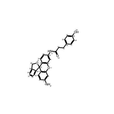 Nc1ccc2c(c1)Oc1cc(NC(=O)CCc3ccc(O)cc3)ccc1C21OCc2ccccc21